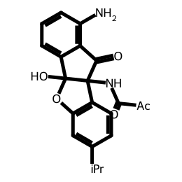 CC(=O)C(=O)NC12C(=O)c3c(N)cccc3C1(O)Oc1cc(C(C)C)ccc12